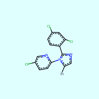 CCc1cnc(-c2ccc(Cl)cc2Cl)n1-c1ccc(Cl)cn1